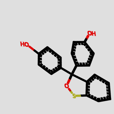 Oc1ccc(C2(c3ccc(O)cc3)OSc3ccccc32)cc1